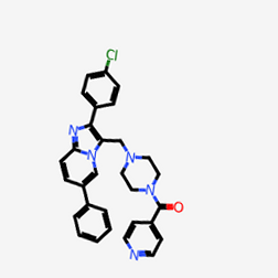 O=C(c1ccncc1)N1CCN(Cc2c(-c3ccc(Cl)cc3)nc3ccc(-c4ccccc4)cn23)CC1